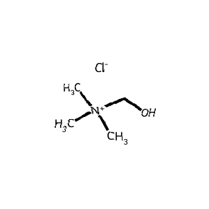 C[N+](C)(C)CO.[Cl-]